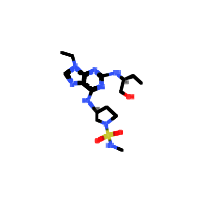 CC[C@@H](CO)Nc1nc(N[C@H]2CCN(S(=O)(=O)NC)C2)c2ncn(CC)c2n1